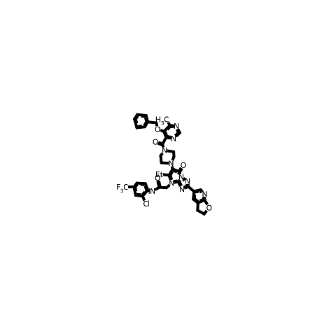 CCc1c(N2CCN(C(=O)c3ncnc(C)c3OCc3ccccc3)CC2)c(=O)n2nc(-c3cnc4c(c3)CCO4)nc2n1CC(=O)Nc1ccc(C(F)(F)F)cc1Cl